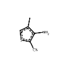 Cc1csc(C#N)c1N